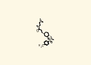 CN(C)CCN(C)C(=O)CC[C@H]1CC[C@H](CN(C)S(=O)(=O)c2ccc(C(F)(F)F)cc2)CC1